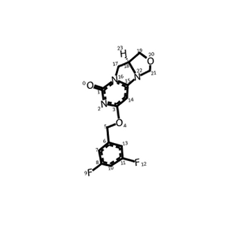 O=c1nc(OCc2cc(F)cc(F)c2)cc2n1C[C@H]1COCN21